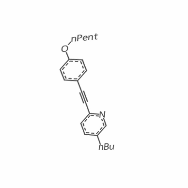 CCCCCOc1ccc(C#Cc2ccc(CCCC)cn2)cc1